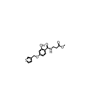 COC(=O)CCNC(=O)c1ccc(OCc2ccsc2)cc1O